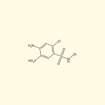 CCNS(=O)(=O)c1cc(S(=O)(=O)O)c(N)cc1Cl